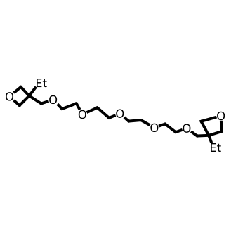 CCC1(COCCOCCOCCOCCOCC2(CC)COC2)COC1